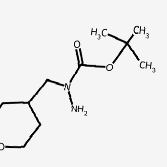 CC(C)(C)OC(=O)N(N)CC1CCOCC1